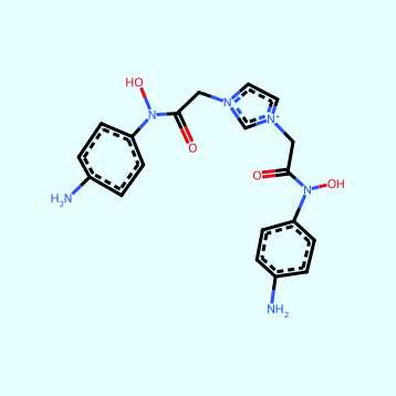 Nc1ccc(N(O)C(=O)Cn2cc[n+](CC(=O)N(O)c3ccc(N)cc3)c2)cc1